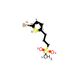 CS(=O)(=O)CC[CH]c1ccc(Br)s1